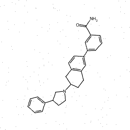 NC(=O)c1cccc(-c2ccc3c(c2)CCC(N2CCC(c4ccccc4)C2)C3)c1